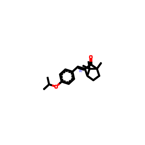 CC(C)Oc1ccc(/C=C2/C(=O)C3(C)CCC2C3(C)C)cc1